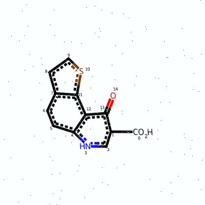 O=C(O)c1c[nH]c2ccc3ccsc3c2c1=O